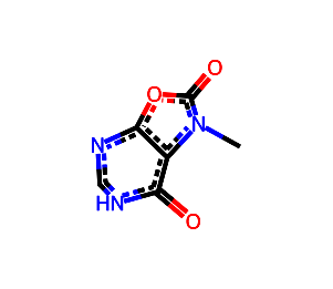 Cn1c(=O)oc2nc[nH]c(=O)c21